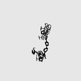 COC(=O)N[C@H](C(=O)N1CCC[C@H]1c1ncc(-c2ccc(-c3ccc(-c4cnc([C@@H]5C6CCC(C6)C5C(=O)NCc5cccs5)[nH]4)cc3)cc2)[nH]1)C(C)C